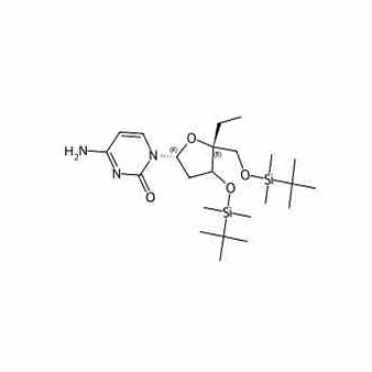 CC[C@]1(CO[Si](C)(C)C(C)(C)C)O[C@@H](n2ccc(N)nc2=O)CC1O[Si](C)(C)C(C)(C)C